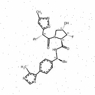 Cc1cc([C@H](C(=O)N2C[C@H](O)[C@H](F)[C@H]2C(=O)N[C@H](c2ccc(-c3scnc3C)cc2)C(C)(C)C)C(C)C)on1